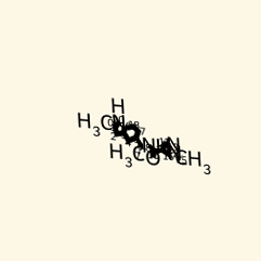 Cc1cc2cc([C@@H](C)NC(=O)c3cnn(C)c3)ccc2[nH]1